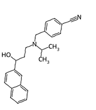 CC(C)N(CCC(O)c1ccc2ccccc2c1)Cc1ccc(C#N)cc1